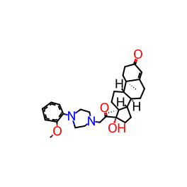 COc1ccccc1N1CCN(CC(=O)[C@@]2(O)CC[C@H]3[C@@H]4CCC5=CC(=O)CC[C@]5(C)[C@H]4CC[C@@]32C)CC1